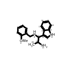 COc1ccccc1CNC(c1c[nH]c2ccccc12)C(C)N